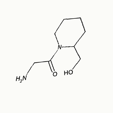 NCC(=O)N1CCCCC1CO